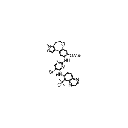 COc1cc2c(cc1Nc1ncc(Br)c(Nc3ccc4nccnc4c3P(C)(C)=O)n1)-c1cnn(C)c1CCO2